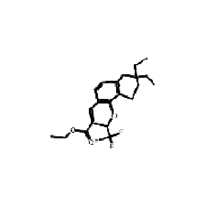 CCOC(=O)C1=Cc2ccc3c(c2OC1C(F)(F)F)CCC(CC)(CC)C3